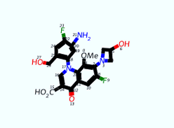 COc1c(N2CC(O)C2)c(F)cc2c(=O)c(C(=O)O)cn(-c3cc(N)c(F)cc3CO)c12